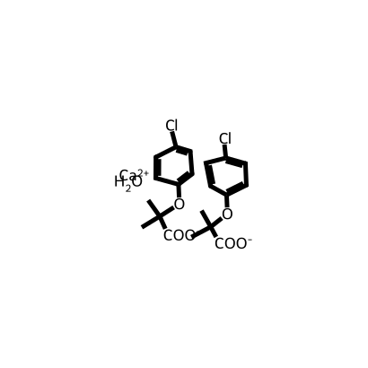 CC(C)(Oc1ccc(Cl)cc1)C(=O)[O-].CC(C)(Oc1ccc(Cl)cc1)C(=O)[O-].O.[Ca+2]